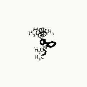 C=C(/C=C\CC)n1c2ccccc2c2cc(B3OC(C)(C)C(C)(C)O3)ccc21